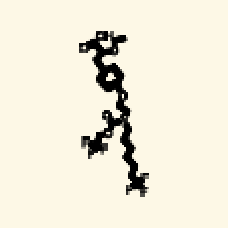 CCOC(Cc1ccc(OCCN(CCCCCCC(F)(F)F)C(=O)OCC(F)(F)F)cc1)C(=O)O